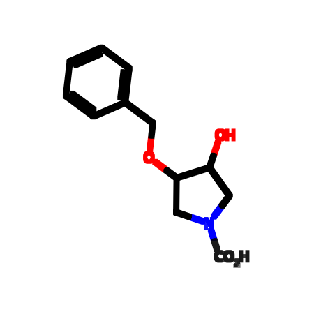 O=C(O)N1CC(O)C(OCc2ccccc2)C1